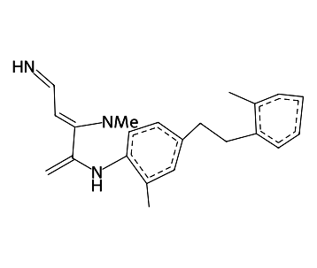 C=C(Nc1ccc(CCc2ccccc2C)cc1C)/C(=C/C=N)NC